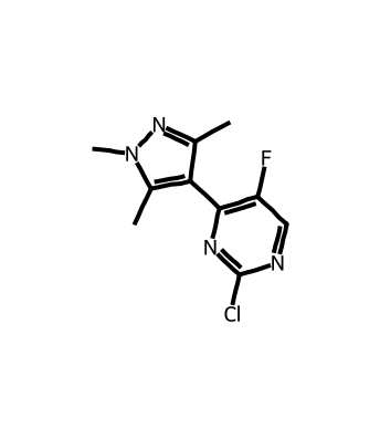 Cc1nn(C)c(C)c1-c1nc(Cl)ncc1F